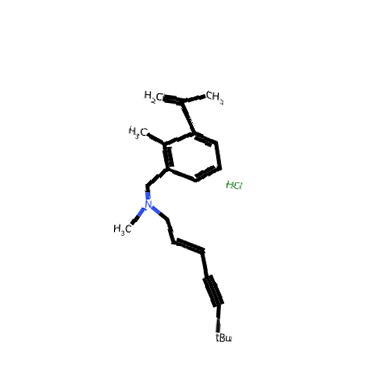 C=C(C)c1cccc(CN(C)C/C=C/C#CC(C)(C)C)c1C.Cl